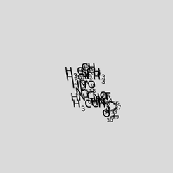 CC1(C)c2[nH]nc(NC(=O)C(C)(C)[Si](C)(C)C)c2CN1C(=O)Nc1c(F)ccc2ccoc12